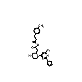 Cc1ccc(CCC(=O)NC(=O)CC2CNCCN2c2cc(C(C)C)nc(-n3ccnc3)n2)cc1